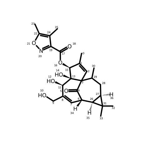 CC1=CC23C(=O)[C@@H](C=C(CO)[C@@H](O)[C@]2(O)[C@H]1OC(=O)c1noc(C)c1C)[C@H]1[C@@H](CC3C)C1(C)C